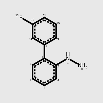 NNc1ccccc1-c1cccc(F)c1